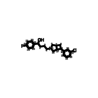 OC(CCCN1CC2CC(c3cccc(Cl)c3)C2C1)c1ccc(F)cc1